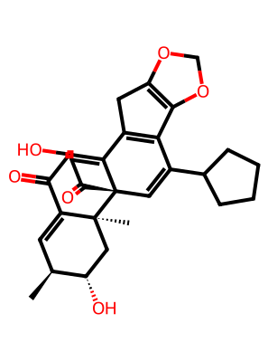 C[C@H]1C=C2C(=O)C=C3C4=C(C(C5CCCC5)=C[C@]3(C(=O)CO)[C@@]2(C)C[C@@H]1O)C1=C(C4)OCO1